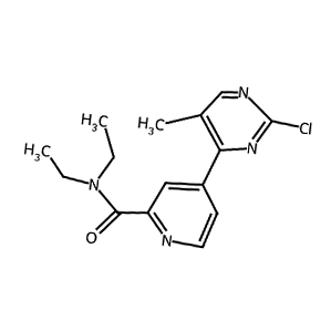 CCN(CC)C(=O)c1cc(-c2nc(Cl)ncc2C)ccn1